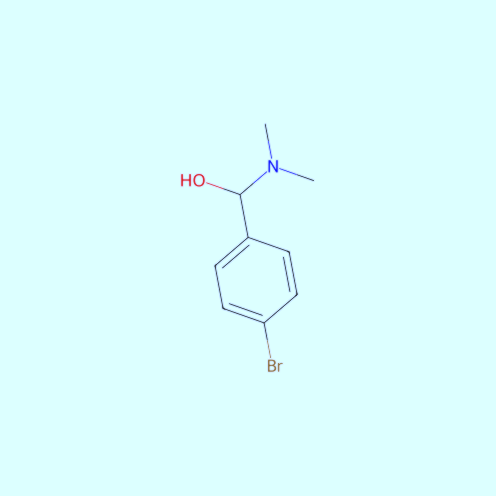 CN(C)C(O)c1ccc(Br)cc1